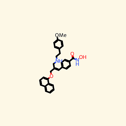 COc1ccc(CCNCC(=Cc2ccc(C(=O)NO)cc2)COc2cccc3ccccc23)cc1